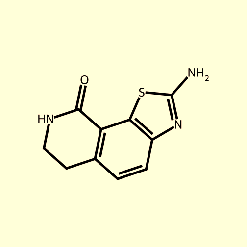 Nc1nc2ccc3c(c2s1)C(=O)NCC3